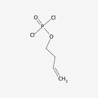 C=CCCOP(=O)(Cl)Cl